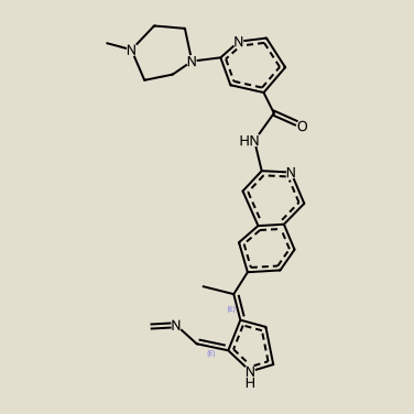 C=N/C=c1/[nH]cc/c1=C(/C)c1ccc2cnc(NC(=O)c3ccnc(N4CCN(C)CC4)c3)cc2c1